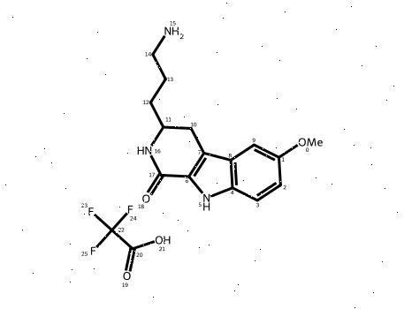 COc1ccc2[nH]c3c(c2c1)CC(CCCN)NC3=O.O=C(O)C(F)(F)F